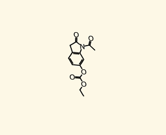 CCOC(=O)Oc1ccc2c(c1)N(C(C)=O)C(=O)C2